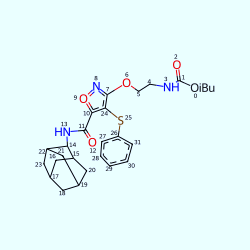 CC(C)COC(=O)NCCOc1noc(C(=O)NC2C3CC4CC(C3)CC2C4)c1Sc1ccccc1